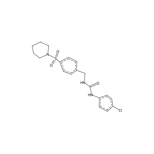 O=C(NCc1ccc(S(=O)(=O)N2CCCCC2)cc1)Nc1ccc(Cl)cc1